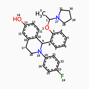 CC(Oc1ccccc1C1c2ccc(O)cc2CCN1c1ccc(F)cc1)N1CCCC1